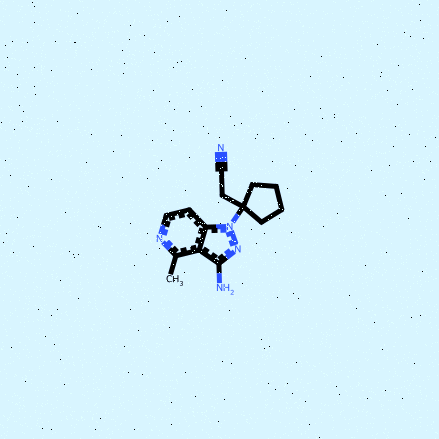 Cc1nccc2c1c(N)nn2C1(CC#N)CCCC1